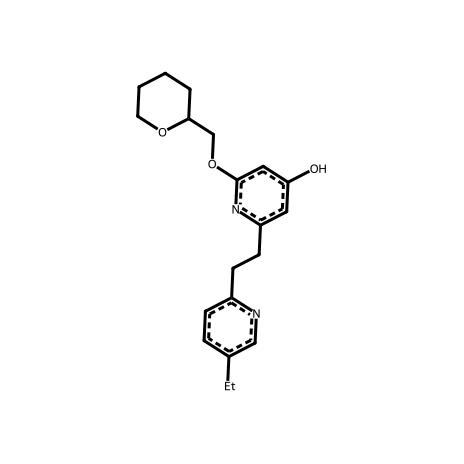 CCc1ccc(CCc2cc(O)cc(OCC3CCCCO3)n2)nc1